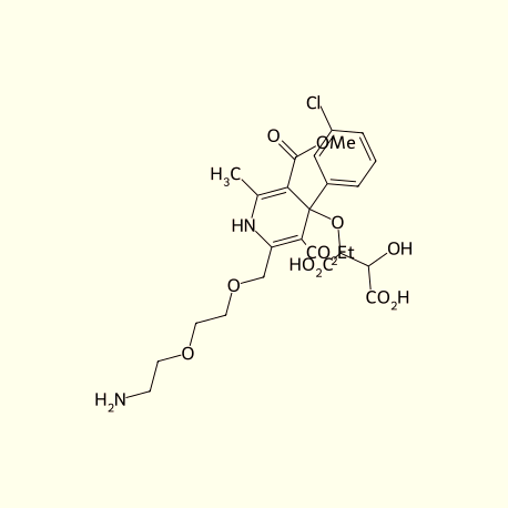 CCOC(=O)C1=C(COCCOCCN)NC(C)=C(C(=O)OC)C1(OC(C(=O)O)C(O)C(=O)O)c1cccc(Cl)c1